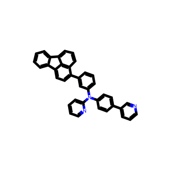 c1ccc(N(c2ccc(-c3cccnc3)cc2)c2cccc(-c3ccc4c5c(cccc35)-c3ccccc3-4)c2)nc1